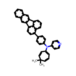 CC1(C)C=CC=C(N(c2ccncc2)c2ccc(-c3ccc4c5c(cccc35)-c3cc5ccccc5cc3-4)cc2)C=C1